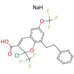 O=C(O)C1=Cc2cc(OC(F)(F)F)cc(CCc3ccccc3)c2OC1(Cl)C(F)(F)F.[NaH]